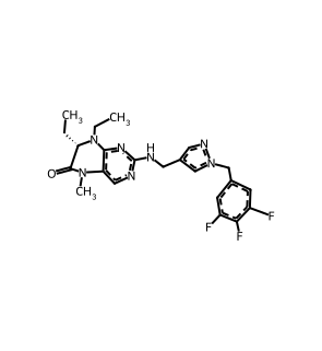 CC[C@H]1C(=O)N(C)c2cnc(NCc3cnn(Cc4cc(F)c(F)c(F)c4)c3)nc2N1CC